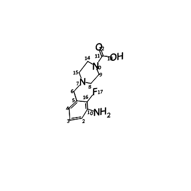 Nc1cccc(CN2CCN(C(=O)O)CC2)c1F